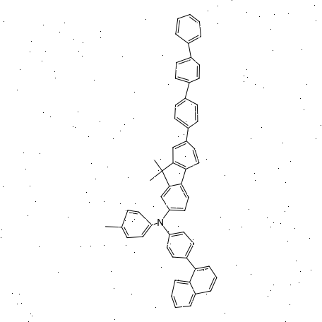 Cc1ccc(N(c2ccc(-c3cccc4ccccc34)cc2)c2ccc3c(c2)C(C)(C)c2cc(-c4ccc(-c5ccc(-c6ccccc6)cc5)cc4)ccc2-3)cc1